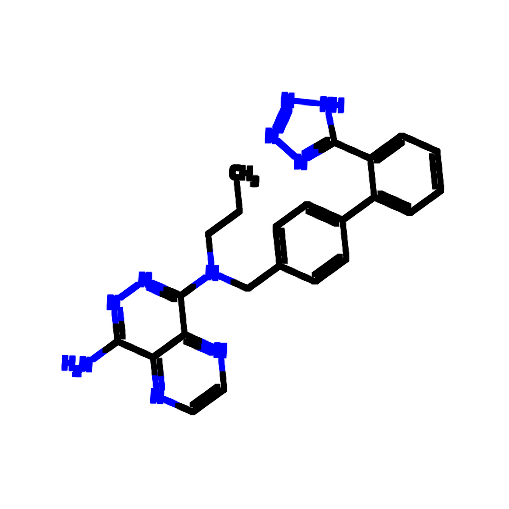 CCCN(Cc1ccc(-c2ccccc2-c2nnn[nH]2)cc1)c1nnc(N)c2nccnc12